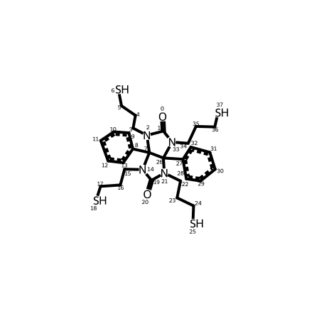 O=C1N(CCCS)C2(c3ccccc3)N(CCCS)C(=O)N(CCCS)C2(c2ccccc2)N1CCCS